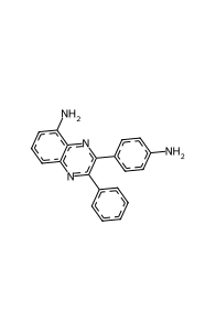 Nc1ccc(-c2nc3c(N)cccc3nc2-c2ccccc2)cc1